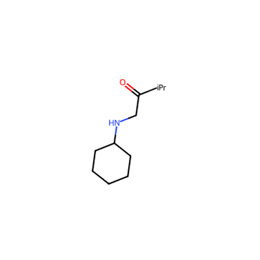 CC(C)C(=O)CNC1CCCCC1